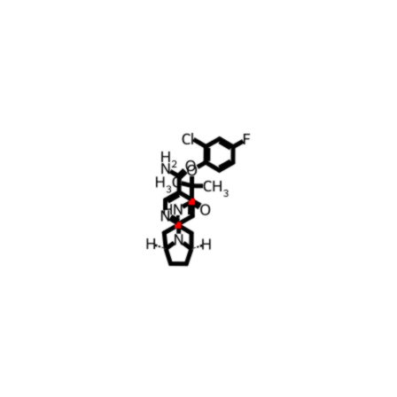 CC(C)(Oc1ccc(F)cc1Cl)C(=O)N[C@H]1C[C@H]2CC[C@@H](C1)N2c1ccc(C(N)=O)cn1